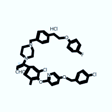 Cc1cc(/C(=C\C=O)N2CCN(Cc3ccc(CCOc4ccc(F)cc4)cc3)CC2)cc(Cl)c1Oc1ccc(OCc2ccc(Cl)cc2)cn1.Cl